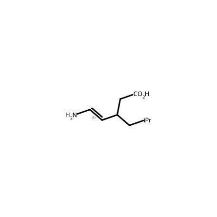 CC(C)CC(/C=C/N)CC(=O)O